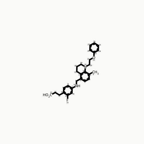 Cc1ccc(CNc2ccc(CCC(=O)O)c(F)c2)c2c1N(CCOc1ccccc1)CCC2